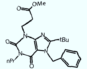 CCCn1c(=O)c2c(nc(C(C)(C)C)n2Cc2ccccc2)n(CCC(=O)OC)c1=O